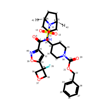 O=C(NC1C[C@H]2CC[C@@H](C1)N2S(=O)(=O)CC1CCN(C(=O)OCc2ccccc2)CC1)c1cc(C2(F)COC2)on1